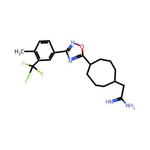 Cc1ccc(-c2noc(C3CCCC(CC(=N)N)CCC3)n2)cc1C(F)(F)F